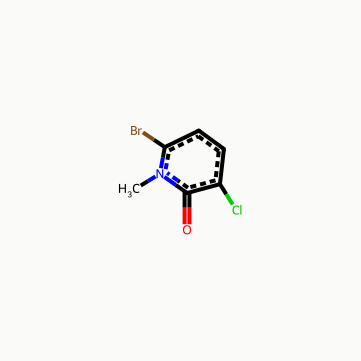 Cn1c(Br)ccc(Cl)c1=O